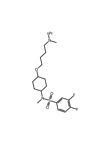 CCCN(C)CCCCOC1CCC(N(C)S(=O)(=O)c2ccc(F)c(F)c2)CC1